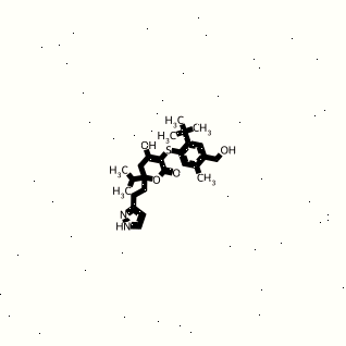 Cc1cc(SC2=C(O)CC(CCc3cc[nH]n3)(C(C)C)OC2=O)c(C(C)(C)C)cc1CO